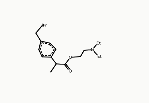 CCN(CC)CCOC(=O)C(C)c1ccc(CC(C)C)cc1